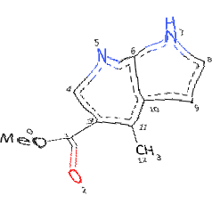 COC(=O)c1cnc2[nH]ccc2c1C